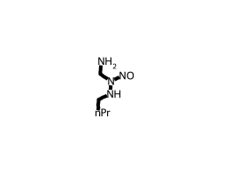 CCCCNN(CN)N=O